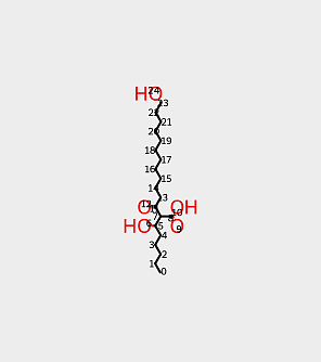 CCCCCC(O)C(C(=O)O)C(=O)CCCCCCCCCCCO